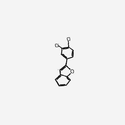 Clc1ccc(-c2[c]c3ccccc3o2)cc1Cl